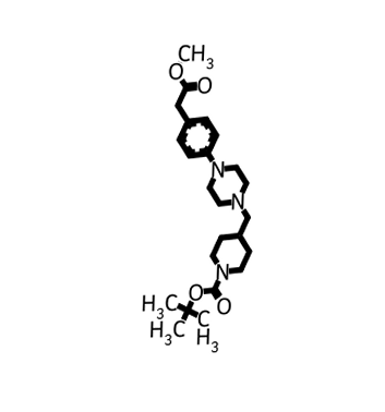 COC(=O)Cc1ccc(N2CCN(CC3CCN(C(=O)OC(C)(C)C)CC3)CC2)cc1